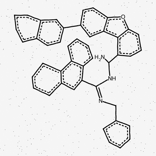 NC(N/C(=N\Cc1ccccc1)c1cc2ccccc2c2ccccc12)c1cccc2oc3ccc(-c4ccc5ccccc5c4)cc3c12